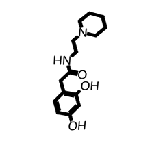 O=C(Cc1ccc(O)cc1O)NCCN1CCCCC1